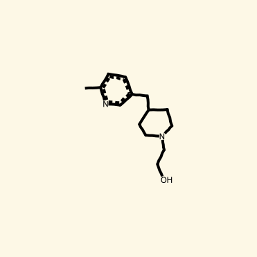 Cc1ccc(CC2CCN(CCO)CC2)cn1